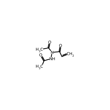 C=CC(=O)N(NC(C)=O)C(C)=O